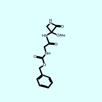 COC1(NC(=O)CNC(=O)OCc2ccccc2)CNC1=O